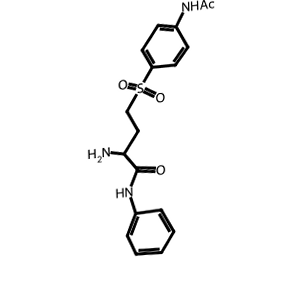 CC(=O)Nc1ccc(S(=O)(=O)CCC(N)C(=O)Nc2ccccc2)cc1